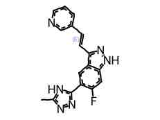 Cc1nnc(-c2cc3c(/C=C/c4cccnc4)n[nH]c3cc2F)[nH]1